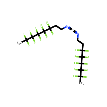 FC(F)(F)C(F)(F)C(F)(F)C(F)(F)C(F)(F)C(F)(F)CCN=C=NCCC(F)(F)C(F)(F)C(F)(F)C(F)(F)C(F)(F)C(F)(F)F